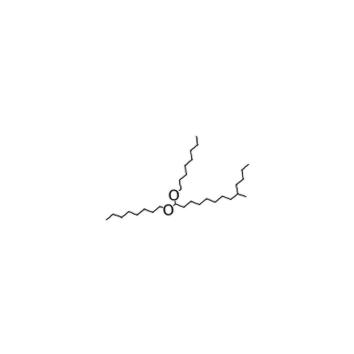 CCCCCCCCOC(CCCCCCCC(C)CCCC)OCCCCCCCC